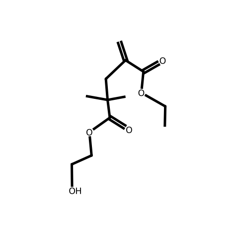 C=C(CC(C)(C)C(=O)OCCO)C(=O)OCC